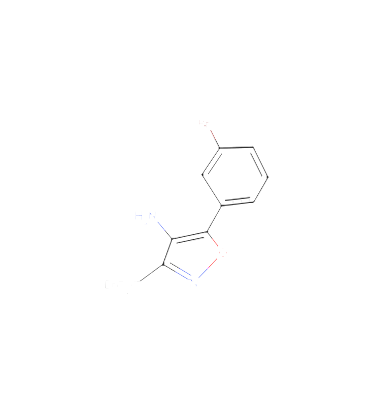 CCOC(=O)c1noc(-c2cccc(Br)c2)c1N